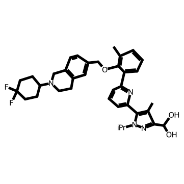 Cc1cccc(-c2cccc(-c3c(C)c(C(O)O)nn3C(C)C)n2)c1OCc1ccc2c(c1)CCN(C1CCC(F)(F)CC1)C2